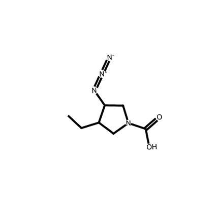 CCC1CN(C(=O)O)CC1N=[N+]=[N-]